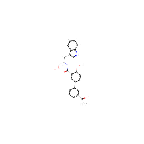 CCCOc1ccc(-c2cccc(C(=O)NC)c2)cc1C(=O)N[C@@H](CO)Cc1c[nH]c2ccccc12